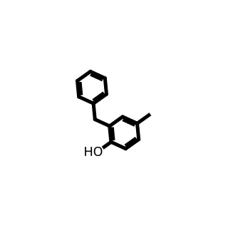 Cc1ccc(O)c(Cc2ccccc2)c1